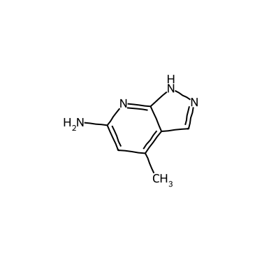 Cc1cc(N)nc2[nH]ncc12